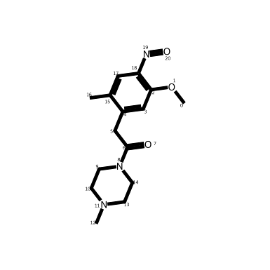 COc1cc(CC(=O)N2CCN(C)CC2)c(C)cc1N=O